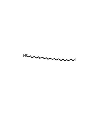 SCCCCCCCCCCCCCCCCCCCCCCCI